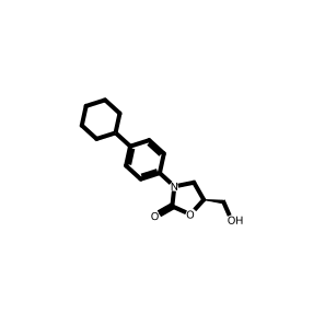 O=C1O[C@H](CO)CN1c1ccc(C2CCCCC2)cc1